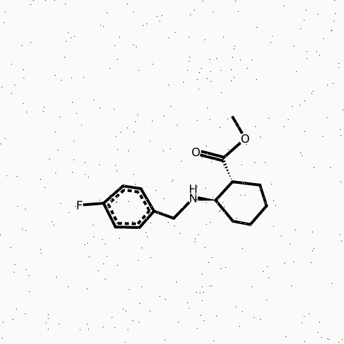 COC(=O)[C@@H]1CCCC[C@H]1NCc1ccc(F)cc1